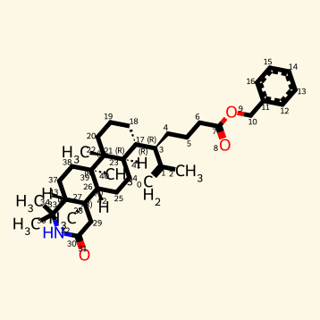 C=C(C)[C@H](CCCC(=O)OCc1ccccc1)[C@H]1CCC[C@]2(C)[C@@H]1CC[C@@H]1[C@@]3(C)CC(=O)NC(C)(C)[C@@H]3CC[C@]12C